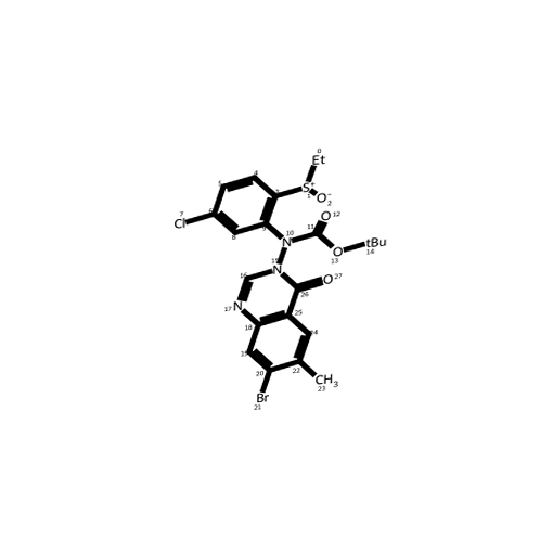 CC[S+]([O-])c1ccc(Cl)cc1N(C(=O)OC(C)(C)C)n1cnc2cc(Br)c(C)cc2c1=O